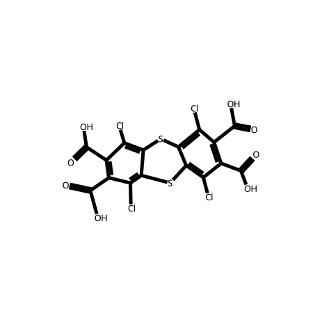 O=C(O)c1c(Cl)c2c(c(Cl)c1C(=O)O)Sc1c(Cl)c(C(=O)O)c(C(=O)O)c(Cl)c1S2